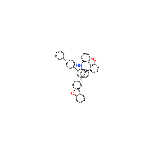 c1ccc(-c2ccc(-c3cccc(-c4cccc5oc6cccc(Nc7cccc(-c8ccc9oc%10ccccc%10c9c8)c7)c6c45)c3)cc2)cc1